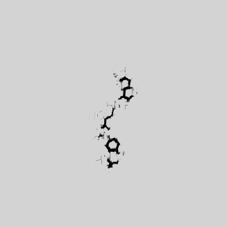 COc1ccc2ncc(F)c(CNCC[C@H](O)C3CN(c4ccc5c(c4)NC(=O)CO5)C(=O)O3)c2n1